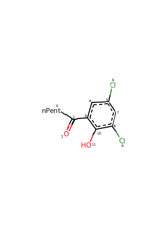 CCCCCC(=O)c1cc(Cl)cc(Cl)c1O